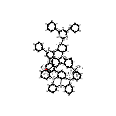 CC(C)(C)c1ccc2c(c1)c1cc(C(C)(C)C)ccc1n2-c1ccc(-c2nc(-c3ccccc3)nc(-c3ccccc3)n2)cc1-c1nc(-c2ccccc2)cc(-c2cccc(-c3ccc4c5c3N(c3ccccc3)c3ccccc3B5c3ccccc3N4c3ccccc3)c2)n1